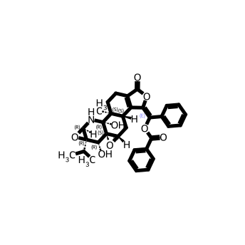 CC(C)[C@]12O[C@H]1N[C@]1(O)[C@]3(O[C@H]3C[C@H]3C4=C(CC[C@@]31C)C(=O)O/C4=C(/OC(=O)c1ccccc1)c1ccccc1)[C@@H]2O